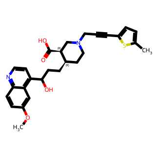 COc1ccc2nccc(C(O)CC[C@@H]3CCN(CC#Cc4ccc(C)s4)C[C@@H]3C(=O)O)c2c1